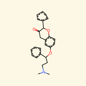 CN(C)CCC(Oc1ccc2c(c1)CC(=O)C(c1ccccc1)O2)c1ccccc1